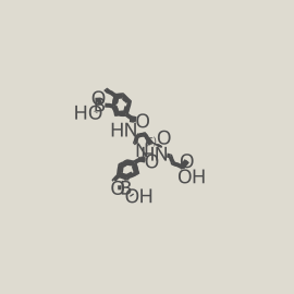 O=C(O)CCNC(=O)[C@@H]1CC(NC(=O)c2ccc3c(c2)B(O)OC3)CN1C(=O)c1ccc2c(c1)B(O)OC2